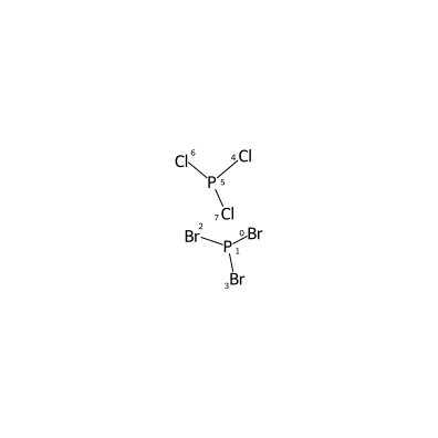 BrP(Br)Br.ClP(Cl)Cl